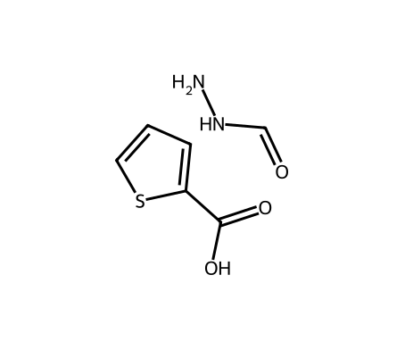 NNC=O.O=C(O)c1cccs1